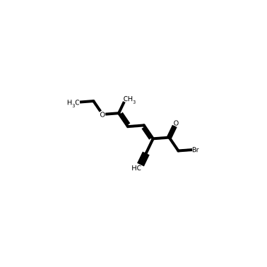 C#C/C(=C\C=C(/C)OCC)C(=O)CBr